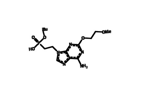 CCC(C)OP(=O)(O)CCn1cnc2c(N)nc(OCCOC)nc21